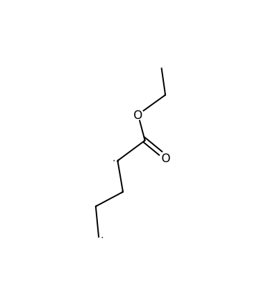 [CH2]CC[CH]C(=O)OCC